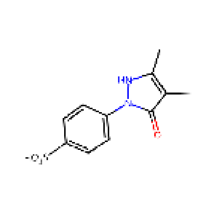 Cc1[nH]n(-c2ccc(S(=O)(=O)O)cc2)c(=O)c1C